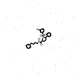 O=C(NCCCCc1ccccc1)C1CCC(c2ccccc2)N(S(=O)(=O)c2cccc(F)c2)C1